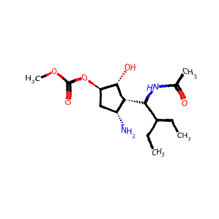 CCC(CC)C(NC(C)=O)[C@H]1[C@@H](O)[C@H](OC(=O)OC)C[C@H]1N